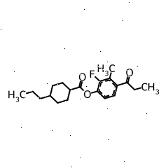 CCCC1CCC(C(=O)Oc2ccc(C(=O)CC)c(C)c2F)CC1